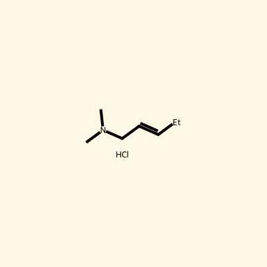 CC/C=C/CN(C)C.Cl